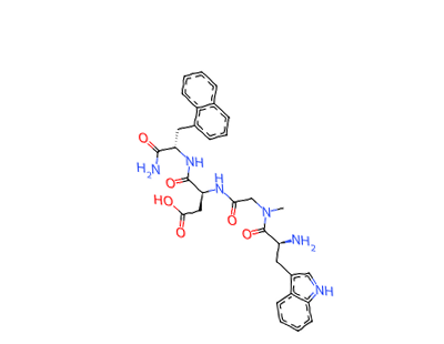 CN(CC(=O)N[C@@H](CC(=O)O)C(=O)N[C@@H](Cc1cccc2ccccc12)C(N)=O)C(=O)[C@@H](N)Cc1c[nH]c2ccccc12